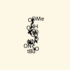 COC(=O)CCNC(=O)[C@@H]1O[P@@](=O)(OCOC(C)N[C@@H](CSC(=O)C(C)(C)C)C(=O)N=O)OCC1(C)C